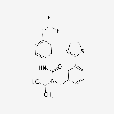 CC(C)N(Cc1cccc(-c2nccs2)c1)C(=O)Nc1ccc(OC(F)F)cc1